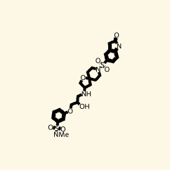 CNS(=O)(=O)c1cccc(OCC(O)CNC2COC3(CCN(S(=O)(=O)c4ccc5c(c4)=CC(=O)N=5)CC3)C2)c1